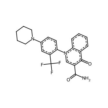 NC(=O)c1cn(-c2ccc(N3CCCCC3)cc2C(F)(F)F)c2ccccc2c1=O